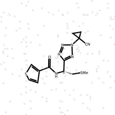 CSC[C@H](NC(=O)c1ccsc1)c1nnn(C2(C#N)CC2)n1